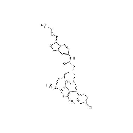 C/C=N/N=C/[C@@H](CC/C=C(/c1ccc(Cl)cc1)c1c(C)sc(C)c1C)CC(=O)Nc1ccc2c(c1)CO/C2=N\OCC